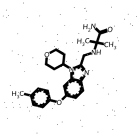 Cc1ccc(Oc2ccc3nc(CNC(C)(C)C(N)=O)n(C4CCOCC4)c3c2)cc1